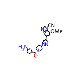 COc1cc(-c2cnn(C3CCN(C(=O)[C@H]4CC[C@H](N)C4)CC3)c2)cn2ncc(C#N)c12